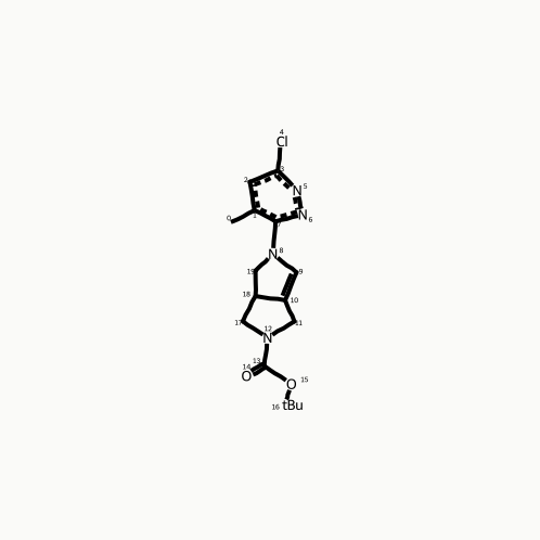 Cc1cc(Cl)nnc1N1C=C2CN(C(=O)OC(C)(C)C)CC2C1